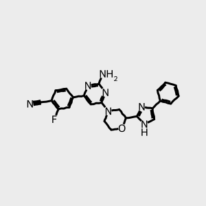 N#Cc1ccc(-c2cc(N3CCOC(c4nc(-c5ccccc5)c[nH]4)C3)nc(N)n2)cc1F